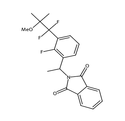 COC(C)(C)C(F)(F)c1cccc(C(C)N2C(=O)c3ccccc3C2=O)c1F